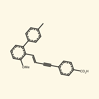 COc1cccc(-c2ccc(C)cc2)c1C=CC#Cc1ccc(C(=O)O)cc1